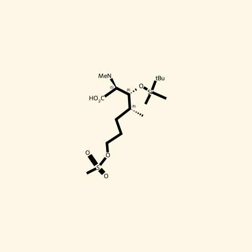 CN[C@H](C(=O)O)[C@H](O[Si](C)(C)C(C)(C)C)[C@H](C)CCCOS(C)(=O)=O